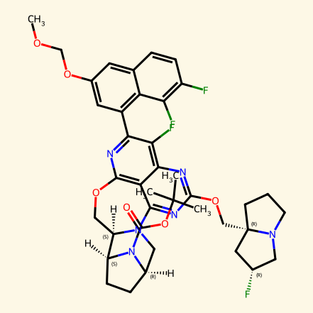 COCOc1cc(-c2nc3c4c(nc(OC[C@]56CCCN5C[C@H](F)C6)nc4c2F)N2C[C@H]4CC[C@@H]([C@H]2CO3)N4C(=O)OC(C)(C)C)c2c(F)c(F)ccc2c1